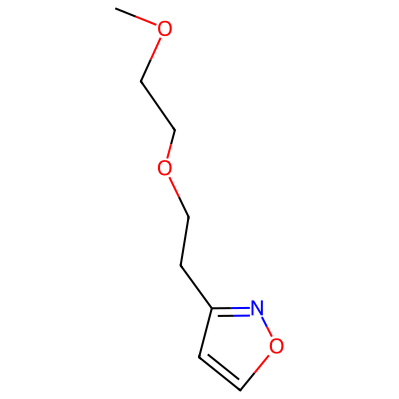 COCCOCCc1ccon1